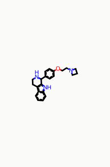 c1ccc2c3c([nH]c2c1)C(c1ccc(OCCN2CCC2)cc1)NCC3